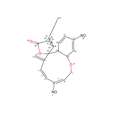 C=C1/C=C\C(N=O)=C/COC2C=C(N=O)C=CC2C12OC(=O)c1cc(C)ccc12